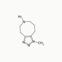 CC(=O)N1CCCc2c(nnn2C)CC1